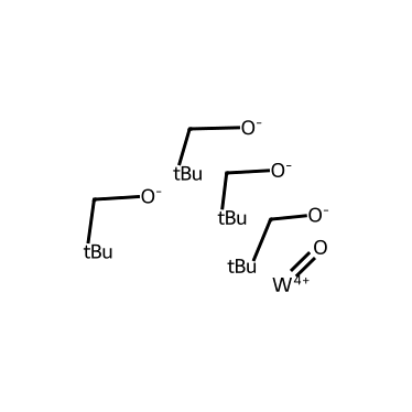 CC(C)(C)C[O-].CC(C)(C)C[O-].CC(C)(C)C[O-].CC(C)(C)C[O-].[O]=[W+4]